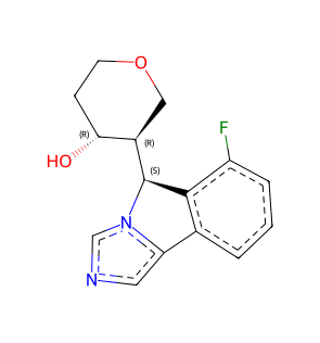 O[C@@H]1CCOC[C@H]1[C@H]1c2c(F)cccc2-c2cncn21